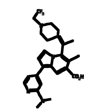 CC(=C1CCN(CC(F)(F)F)CC1)c1c(C)c(C(=O)O)cc2c(-c3ccnc(N(C)C)c3)ccn12